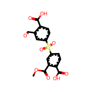 COC(=O)c1cc(S(=O)(=O)c2ccc(C(=O)O)c(C=O)c2)ccc1C(=O)O